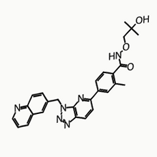 Cc1cc(-c2ccc3nnn(Cc4ccc5ncccc5c4)c3n2)ccc1C(=O)NOCC(C)(C)O